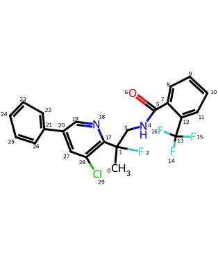 CC(F)(CNC(=O)c1ccccc1C(F)(F)F)c1ncc(-c2ccccc2)cc1Cl